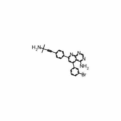 CC(C)(N)C#Cc1ccc(-c2cc(-c3cccc(Br)c3)c3c(N)ncnc3n2)cc1